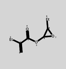 C=C(CC)C(=O)OC1OC1CC